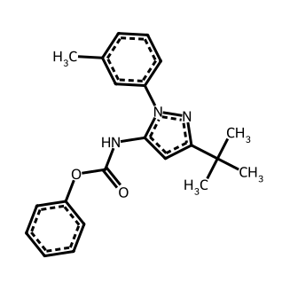 Cc1cccc(-n2nc(C(C)(C)C)cc2NC(=O)Oc2ccccc2)c1